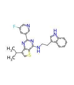 CC(C)c1csc2c(NCCc3c[nH]c4ccccc34)nc(-c3cncc(F)c3)nc12